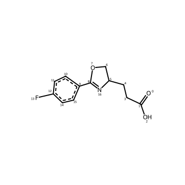 O=C(O)CCC1COC(c2ccc(F)cc2)=N1